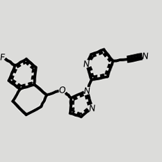 N#Cc1ccnc(-n2nccc2OC2CCCc3cc(F)ccc32)c1